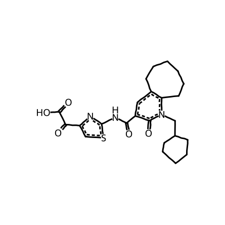 O=C(O)C(=O)c1csc(NC(=O)c2cc3c(n(CC4CCCCC4)c2=O)CCCCCC3)n1